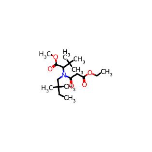 CCOC(=O)CC(=O)N(CC(C)(C)CC)C(C(=O)OC)C(C)(C)C